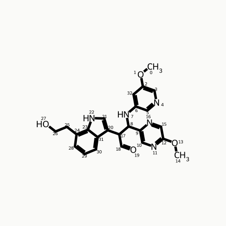 COc1cncc(NC(c2cnc(OC)cn2)C(C=O)c2c[nH]c3c(CCO)cccc23)c1